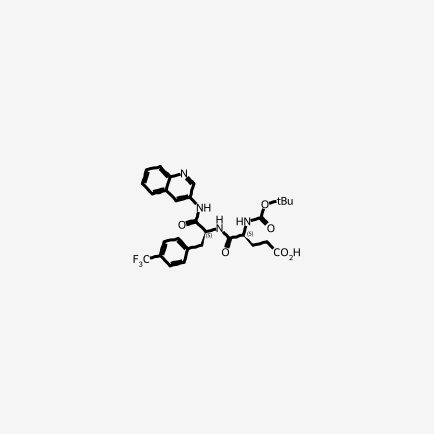 CC(C)(C)OC(=O)N[C@@H](CCC(=O)O)C(=O)N[C@@H](Cc1ccc(C(F)(F)F)cc1)C(=O)Nc1cnc2ccccc2c1